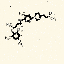 COc1cc(C)c(SN(C)CCC(=O)Nc2nnc(N3CCC(CCN(C)C)CC3)cc2C)c(C)c1